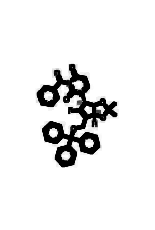 CC1(C)OC2[C@H](O1)C(COC(c1ccccc1)(c1ccccc1)c1ccccc1)=C(F)[C@H]2n1ccc(=O)n(C(=O)c2ccccc2)c1=O